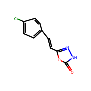 O=c1[nH]nc(C=Cc2ccc(Cl)cc2)o1